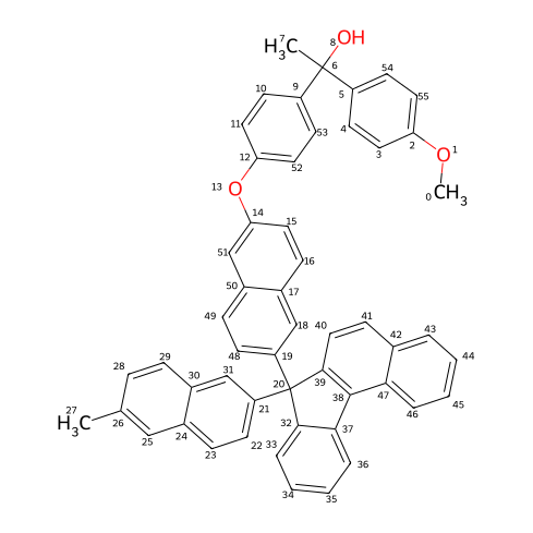 COc1ccc(C(C)(O)c2ccc(Oc3ccc4cc(C5(c6ccc7cc(C)ccc7c6)c6ccccc6-c6c5ccc5ccccc65)ccc4c3)cc2)cc1